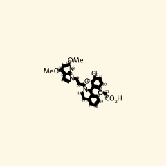 COc1cc(OC)c2ccn(CCC(=O)N3CCc4ccccc4C3c3cc(Cl)ccc3OCC(=O)O)c2n1